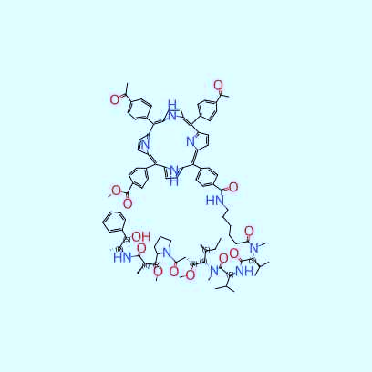 CC[C@H](C)[C@@H]([C@@H](CC(=O)N1CCCC1[C@H](OC)[C@@H](C)C(=O)N[C@H](C)[C@@H](O)c1ccccc1)OC)N(C)C(=O)[C@@H](NC(=O)[C@H](C(C)C)N(C)C(=O)CCCCCNC(=O)c1ccc(-c2c3nc(c(-c4ccc(C(C)=O)cc4)c4ccc([nH]4)c(-c4ccc(C(C)=O)cc4)c4nc(c(-c5ccc(C(=O)OC)cc5)c5ccc2[nH]5)C=C4)C=C3)cc1)C(C)C